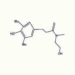 CN(CCO)C(=O)CCc1cc(C(C)(C)C)c(O)c(C(C)(C)C)c1